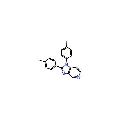 Cc1ccc(-c2nc3cnccc3n2-c2ccc(C)cc2)cc1